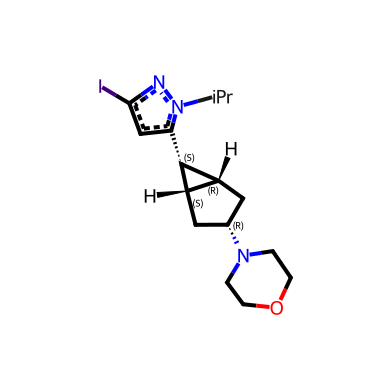 CC(C)n1nc(I)cc1[C@@H]1[C@@H]2C[C@H](N3CCOCC3)C[C@@H]21